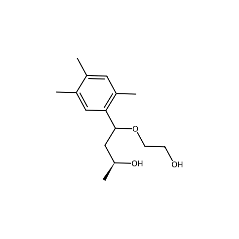 Cc1cc(C)c(C(C[C@H](C)O)OCCO)cc1C